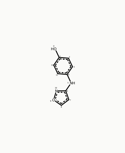 Oc1ccc(Nc2ccon2)cc1